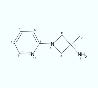 CC1(N)CN(c2cc[c]cn2)C1